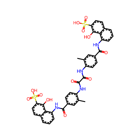 Cc1cc(C(=O)Nc2cccc3ccc(S(=O)(=O)O)c(O)c23)ccc1NC(=O)C(=O)Nc1ccc(C(=O)Nc2cccc3ccc(S(=O)(=O)O)c(O)c23)cc1C